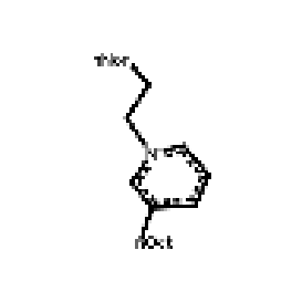 CCCCCCCCCCC[n+]1cccc(CCCCCCCC)c1